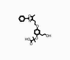 Cc1oc(-c2ccccc2)nc1CCOc1ccc(OC(C)(C)C(=O)O)c(CCO)c1